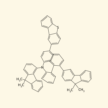 CC1(C)c2ccccc2-c2cc(-c3ccccc3-c3ccccc3N(c3ccc(-c4ccc5sc6ccccc6c5c4)cc3)c3cccc4c3-c3ccccc3C4(C)C)ccc21